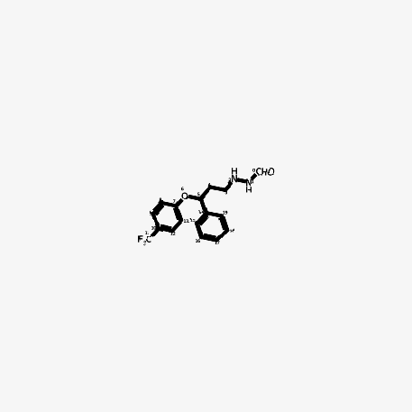 O=CNNCCC(Oc1ccc(C(F)(F)F)cc1)c1ccccc1